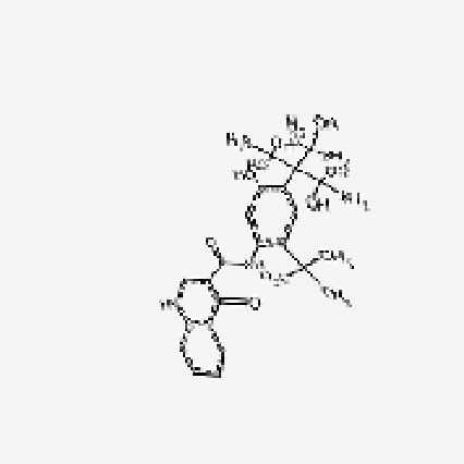 BC(B)(O)C(c1cc(C(C)(C)C)c(NC(=O)c2c[nH]c3ccccc3c2=O)cc1O)(C(B)(O)O)C(B)(O)O